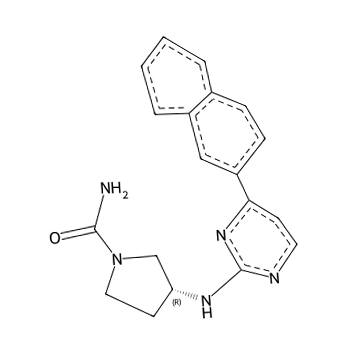 NC(=O)N1CC[C@@H](Nc2nccc(-c3ccc4ccccc4c3)n2)C1